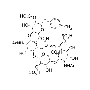 CC(=O)NC1C(O[C@@H]2C(C(=O)O)O[C@@H](O[C@@H]3C(COS(=O)(=O)O)O[C@@H](O[C@@H]4C(C(=O)O)O[C@@H](Oc5ccc(C)cc5)C(OS(=O)(=O)O)[C@H]4O)C(NC(C)=O)[C@H]3O)C(OS(=O)(=O)O)[C@H]2O)OC(COS(=O)(=O)O)[C@@H](O)[C@@H]1O